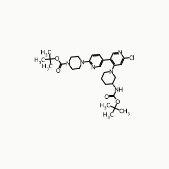 CC(C)(C)OC(=O)N[C@H]1CCCN(c2cc(Cl)ncc2-c2ccc(N3CCN(C(=O)OC(C)(C)C)CC3)nc2)C1